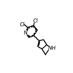 Clc1cc(C2=CC3CNC3C2)cnc1Cl